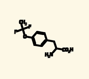 CC(F)(F)Oc1ccc(CC(N)C(=O)O)cc1